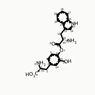 N[C@@H](Cc1ccc(OC(=O)[C@@H](N)Cc2c[nH]c3ccccc23)c(O)c1)C(=O)O